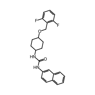 O=C(Nc1ccc2ccccc2c1)NC1CCC(OCc2c(F)cccc2F)CC1